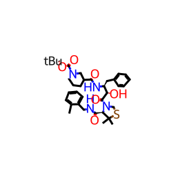 Cc1ccccc1CNC(=O)[C@H]1N(C(=O)[C@@H](O)[C@H](Cc2ccccc2)NC(=O)C2CCCN(C(=O)OC(C)(C)C)C2)CSC1(C)C